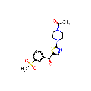 CC(=O)N1CCN(c2ncc(C(=O)c3cccc(S(C)(=O)=O)c3)s2)CC1